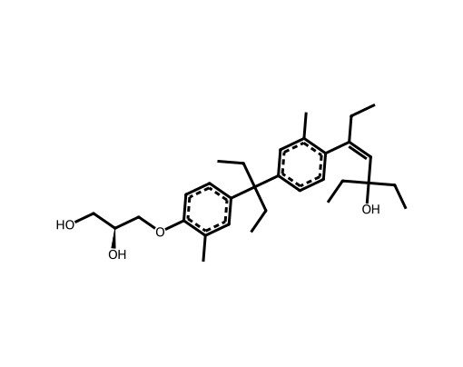 CC/C(=C/C(O)(CC)CC)c1ccc(C(CC)(CC)c2ccc(OC[C@@H](O)CO)c(C)c2)cc1C